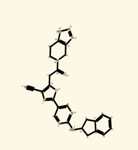 N#Cc1nc(-c2cnc(NC3Cc4ccccc4C3)nc2)oc1CC(=O)N1CCc2[nH]nnc2C1